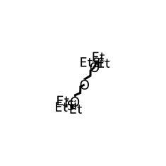 CC[Si](CC)(CC)OCCCOCCCO[Si](CC)(CC)CC